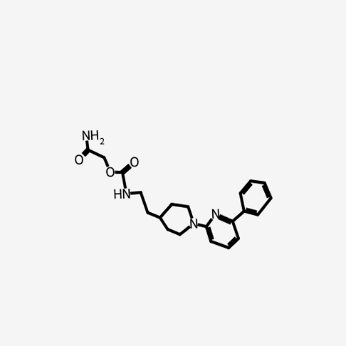 NC(=O)COC(=O)NCCC1CCN(c2cccc(-c3ccccc3)n2)CC1